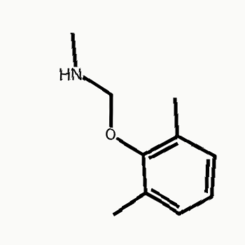 CNCOc1c(C)cccc1C